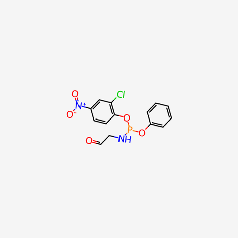 O=CCNP(Oc1ccccc1)Oc1ccc([N+](=O)[O-])cc1Cl